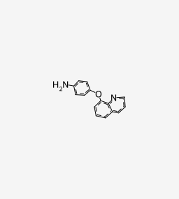 Nc1ccc(Oc2cccc3cccnc23)cc1